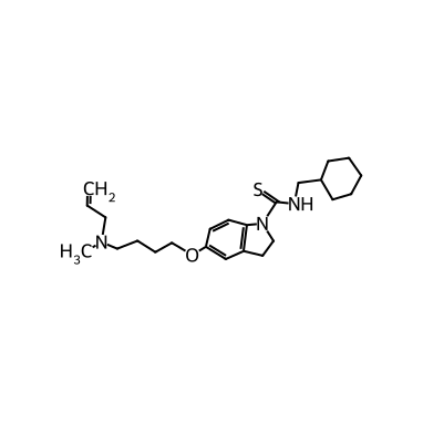 C=CCN(C)CCCCOc1ccc2c(c1)CCN2C(=S)NCC1CCCCC1